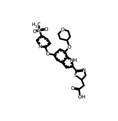 CS(=O)(=O)c1ccc(Oc2cc(OC3CCOCC3)c3[nH]c(C4=NCC(CC(=O)O)S4)cc3c2)nc1